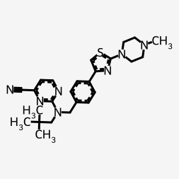 CN1CCN(c2nc(-c3ccc(CN(CC(C)(C)C)c4nccc(C#N)n4)cc3)cs2)CC1